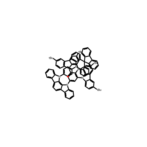 CC(C)(C)c1ccc2c(c1)c1cc(C(C)(C)C)cc3c1n2-c1cc(-n2c4ccccc4c4ccc5c6ccccc6n(-c6ccc(N7c8ccccc8C8(c9ccccc9-c9ccccc98)c8ccccc87)cc6)c5c42)cc2c1B3c1cc(C(C)(C)C)cc3c4cc(C(C)(C)C)ccc4n-2c13